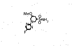 CO[C@H]1C[C@H](S(N)(=O)=O)CN(c2ncc(F)cn2)C1